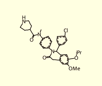 COc1cc2c(cc1OC(C)C)C(c1ccc(Cl)cc1)N(c1ccc(N(C)C(=O)C3CCNCC3)cc1)C(=O)C2